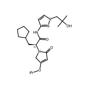 CC(C)OC1=CC(=O)N([C@@H](CC2CCCC2)C(=O)Nc2ccn(CC(C)(C)O)n2)C1